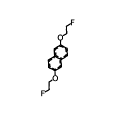 FCCOc1ccc2cc(OCCF)ccc2c1